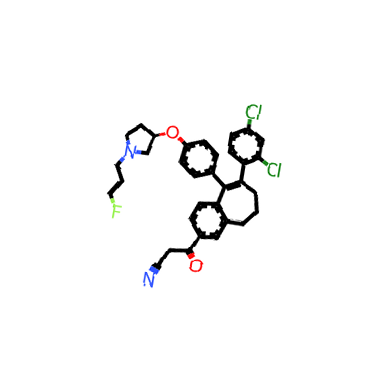 N#CCC(=O)c1ccc2c(c1)CCCC(c1ccc(Cl)cc1Cl)=C2c1ccc(OC2CCN(CCCF)C2)cc1